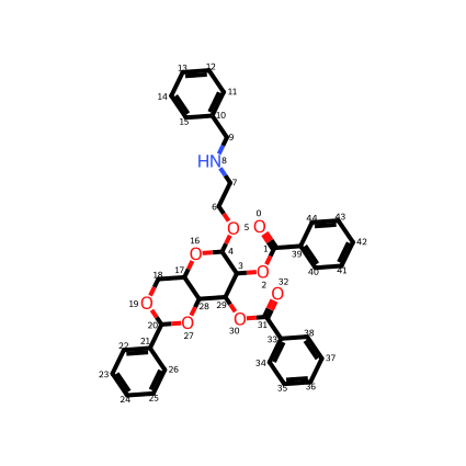 O=C(OC1C(OCCNCc2ccccc2)OC2COC(c3ccccc3)OC2C1OC(=O)c1ccccc1)c1ccccc1